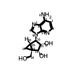 Nc1ccnc2c1ncn2[C@H]1[C@H](O)[C@H](O)[C@]2(CO)C[C@H]12